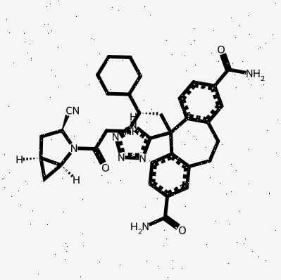 N#C[C@@H]1C[C@@H]2C[C@@H]2N1C(=O)CN[C@@H](CC1(c2nnn[nH]2)c2ccc(C(N)=O)cc2CCc2cc(C(N)=O)ccc21)C1CCCCC1